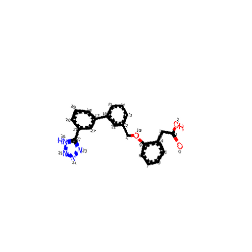 O=C(O)Cc1ccccc1OCc1cccc(-c2cccc(-c3nnn[nH]3)c2)c1